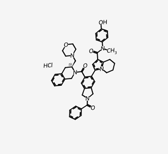 CN(C(=O)c1cc(-c2cc3c(cc2C(=O)N2Cc4ccccc4C[C@H]2CN2CCOCC2)CN(C(=O)c2ccccc2)C3)n2c1CCCC2)c1ccc(O)cc1.Cl